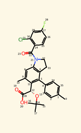 Cc1ccc(-c2c3c(cc(C)c2[C@H](OC(C)(C)C)C(=O)O)N(C(=O)c2ccc(F)cc2Cl)CC3)cc1